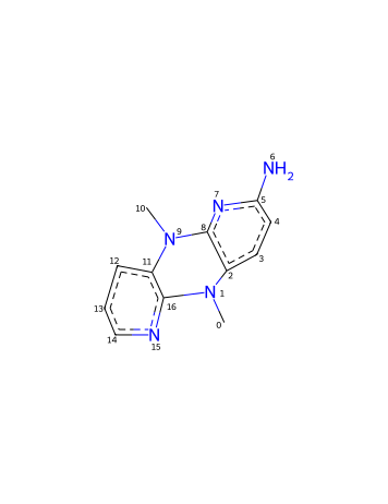 CN1c2ccc(N)nc2N(C)c2cccnc21